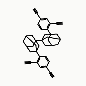 C#Cc1ccc(C23CC4CC(C2)CC(C25CC6CC(CC(c7ccc(C#C)cc7C#C)(C6)C2)C5)(C4)C3)c(C#C)c1